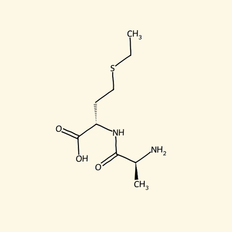 CCSCC[C@H](NC(=O)[C@H](C)N)C(=O)O